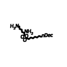 CCCCCCCCCCCCCCCCCC(=O)OC(=O)C(N)CCCCN